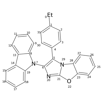 CCc1ccc(-c2c(-n3c4ccccc4c4ccccc43)nc3oc4ccccc4n23)cc1